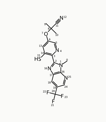 Cn1c(-c2ncc(OC(C)(C)C#N)cc2S)nc2cc(C(F)(F)F)cnc21